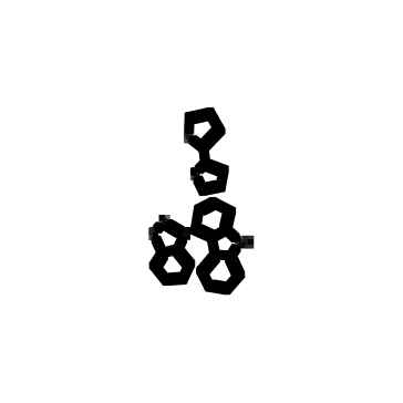 c1ccc2c(c1)[nH]c1ccccc12.c1ccc2snnc2c1.c1csc(-c2cccs2)c1